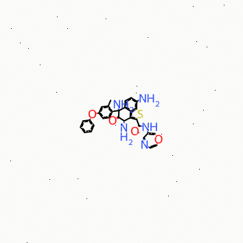 Cc1cc(Oc2ccccc2)ccc1C1(N)C(=O)C(N)c2c(C(=O)NC3=COC=CN=C3)sc3c(N)ccc1c23